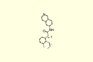 C/C=C\c1c(C)cccc1[C@@H](I)C(=O)Nc1ccc2cnccc2c1